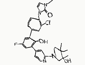 Cn1ccn(-c2ccc(-c3cc(F)cc(-c4ccnc(N5CC(C)(C)C(C)(O)C5)c4)c3O)cc2Cl)c1=O